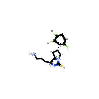 NCCCc1[nH]c(=S)n2c1C[C@H](c1c(F)ccc(F)c1F)C2